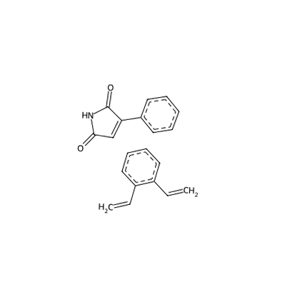 C=Cc1ccccc1C=C.O=C1C=C(c2ccccc2)C(=O)N1